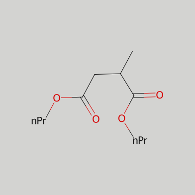 CCCOC(=O)CC(C)C(=O)OCCC